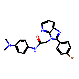 CN(C)c1ccc(NC(=O)Cn2c(-c3ccc(Br)cc3)nc3cccnc32)cc1